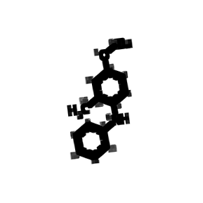 CCC(C)Oc1ccc(Nc2ccccc2)c(C)c1